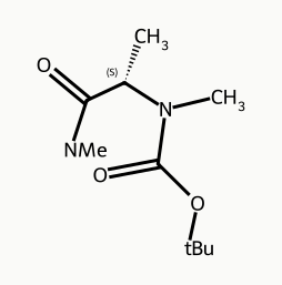 CNC(=O)[C@H](C)N(C)C(=O)OC(C)(C)C